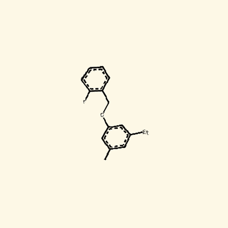 CCc1cc(C)cc(OCc2ccccc2F)c1